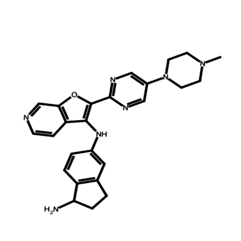 CN1CCN(c2cnc(-c3oc4cnccc4c3Nc3ccc4c(c3)CCC4N)nc2)CC1